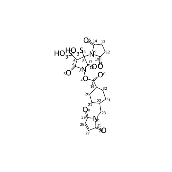 O=C(ON1C(=O)C(S(=O)(=O)O)C(N2C(=O)CCC2=O)(S(=O)(=O)O)C1=O)C1CCC(CN2C(=O)C=CC2=O)CC1